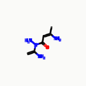 C=C(N)N(N)C(=O)/C=C(/C)N